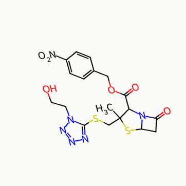 CC1(CSc2nnnn2CCO)SC2CC(=O)N2C1C(=O)OCc1ccc([N+](=O)[O-])cc1